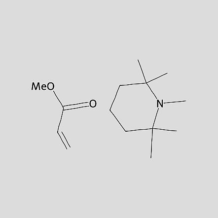 C=CC(=O)OC.CN1C(C)(C)CCCC1(C)C